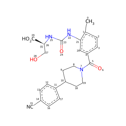 Cc1ccc(C(=O)N2CCC(c3ccc(C#N)cc3)CC2)cc1NC(=O)N[C@@H](CO)C(=O)O